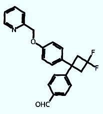 O=Cc1ccc(C2(c3ccc(OCc4ccccn4)cc3)CC(F)(F)C2)cc1